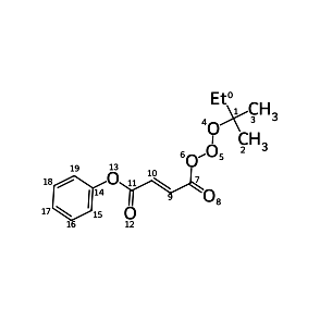 CCC(C)(C)OOOC(=O)C=CC(=O)Oc1ccccc1